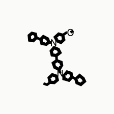 CCc1ccc(N(c2ccc(-c3ccccc3)cc2)c2ccc(-c3ccc(N(c4ccc(COC)cc4)c4ccc(-c5ccccc5)cc4)cc3)cc2)cc1